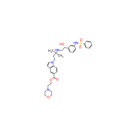 CC(C)(CCn1ccc2cc(C(=O)OCCN3CCOCC3)ccc21)NC[C@H](O)c1cccc(NS(=O)(=O)c2ccccc2)c1